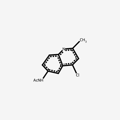 CC(=O)Nc1ccc2nc(C)cc(Cl)c2c1